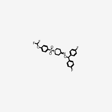 O=S(=O)(c1ccc(OC(F)F)cc1)N1CCC(=NOC(c2ccc(F)cc2)c2ccc(F)cc2)CC1